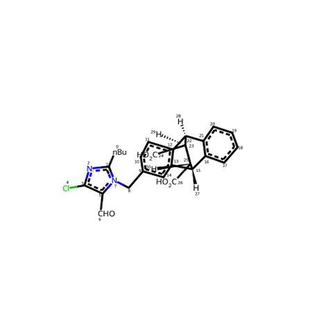 CCCCc1nc(Cl)c(C=O)n1Cc1ccc2c(c1)[C@H]1c3ccccc3[C@H]2[C@H](C(=O)O)[C@H]1C(=O)O